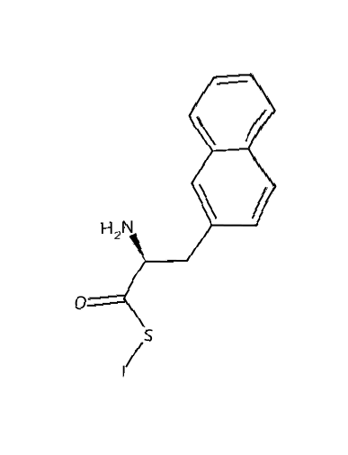 N[C@@H](Cc1ccc2ccccc2c1)C(=O)SI